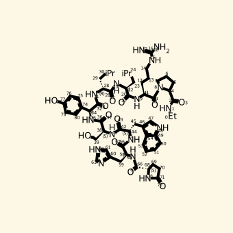 CCNC(=O)C1CCCN1C(=O)[C@H](CCCNC(=N)N)NC(=O)[C@H](CC(C)C)NC(=O)[C@@H](CC(C)C)NC(=O)[C@@H](NC(=O)[C@H](CO)NC(=O)[C@H](Cc1c[nH]c2ccccc12)NC(=O)[C@H](Cc1c[nH]cn1)NC(=O)[C@@H]1CCC(=O)N1)c1ccc(O)cc1